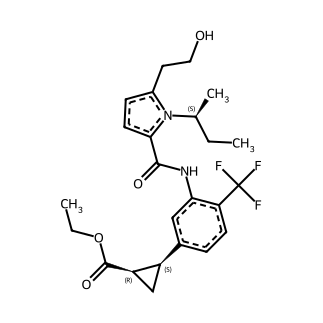 CCOC(=O)[C@@H]1C[C@@H]1c1ccc(C(F)(F)F)c(NC(=O)c2ccc(CCO)n2[C@@H](C)CC)c1